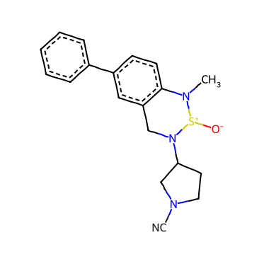 CN1c2ccc(-c3ccccc3)cc2CN(C2CCN(C#N)C2)[S+]1[O-]